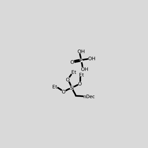 CCCCCCCCCCC[Si](OCC)(OCC)OCC.O=P(O)(O)O